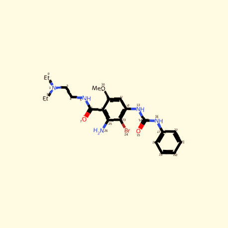 CCN(CC)CCNC(=O)c1c(OC)cc(NC(=O)Nc2ccccc2)c(Br)c1N